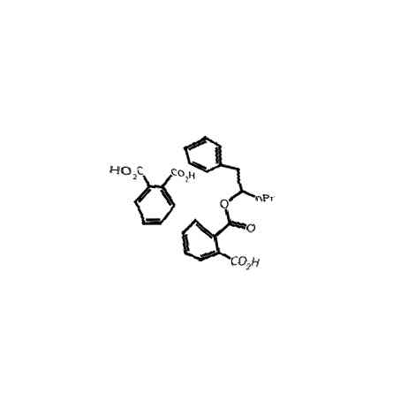 CCCC(Cc1ccccc1)OC(=O)c1ccccc1C(=O)O.O=C(O)c1ccccc1C(=O)O